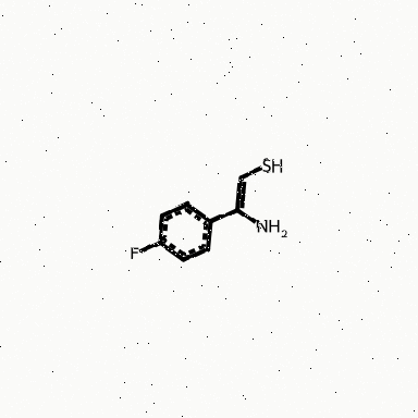 N/C(=C\S)c1ccc(F)cc1